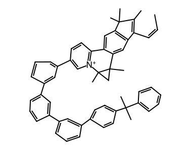 C/C=C\C1=C(C)C(C)(C)c2cc3c(cc21)C1(C)CC1(C)[n+]1cc(-c2cccc(-c4cccc(-c5cccc(-c6ccc(C(C)(C)c7ccccc7)cc6)c5)c4)c2)ccc1-3